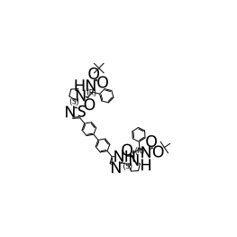 CC(C)(C)OC(=O)N[C@@H](C(=O)N1CCC[C@H]1c1ncc(-c2ccc(-c3ccc(-c4cnc([C@@H]5CCCN5C(=O)[C@H](NC(=O)OC(C)(C)C)c5ccccc5)s4)cc3)cc2)[nH]1)c1ccccc1